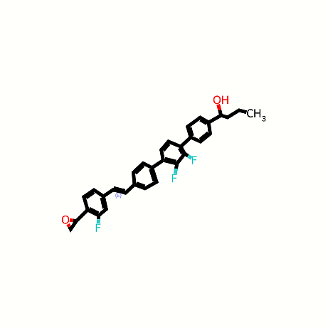 CCCC(O)c1ccc(-c2ccc(-c3ccc(/C=C/c4ccc(C5CO5)c(F)c4)cc3)c(F)c2F)cc1